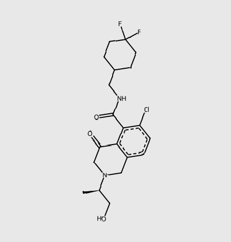 C[C@H](CO)N1CC(=O)c2c(ccc(Cl)c2C(=O)NCC2CCC(F)(F)CC2)C1